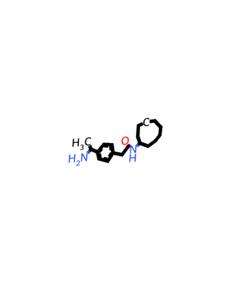 CC(N)c1ccc(CC(=O)NC2CCCCCCCC2)cc1